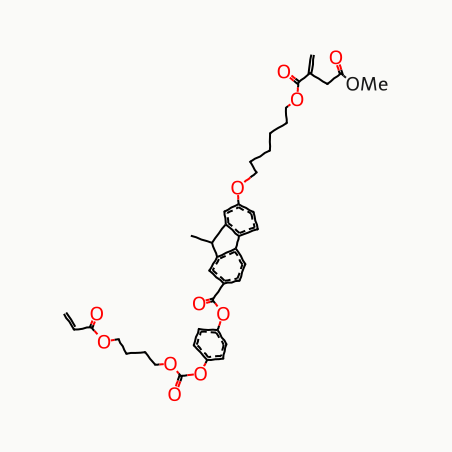 C=CC(=O)OCCCCOC(=O)Oc1ccc(OC(=O)c2ccc3c(c2)C(C)c2cc(OCCCCCCOC(=O)C(=C)CC(=O)OC)ccc2-3)cc1